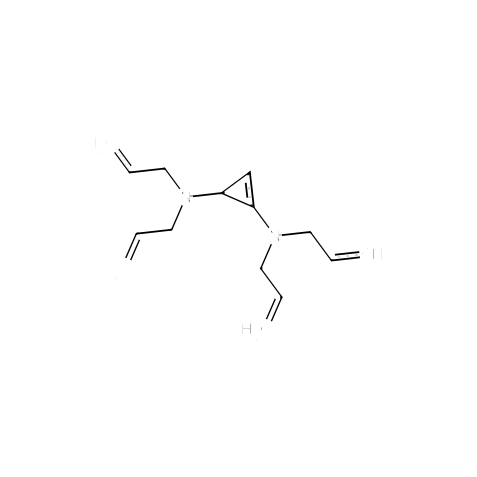 C=CCN(CC=C)C1=[C]C1N(CC=C)CC=C